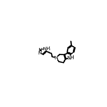 Cc1ccc2[nH]c3c(c2c1)CN(CCc1cnn[nH]1)CC3